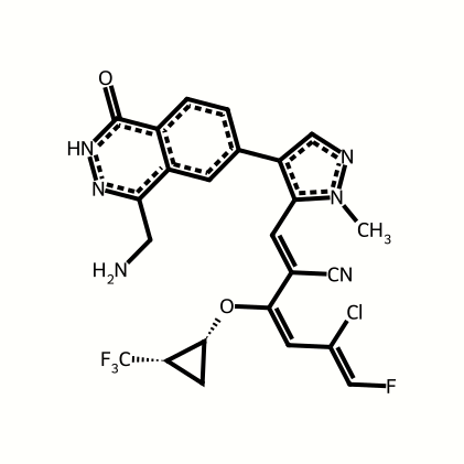 Cn1ncc(-c2ccc3c(=O)[nH]nc(CN)c3c2)c1/C=C(C#N)/C(=C\C(Cl)=C\F)O[C@@H]1C[C@@H]1C(F)(F)F